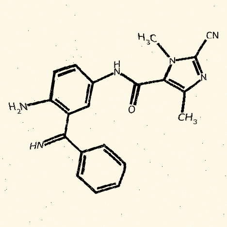 Cc1nc(C#N)n(C)c1C(=O)Nc1ccc(N)c(C(=N)c2ccccc2)c1